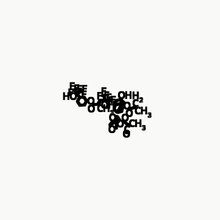 C=C(C)C(=O)OC12CC3CC(CC(O)(C3)C1)C2.CC(=C=O)C(=O)OC1C2CC3COC1C3O2.CC(=CC(O)(C(F)(F)F)C(F)(F)F)C(=O)OC1CCCC(C(O)(C(F)(F)F)C(F)(F)F)C1